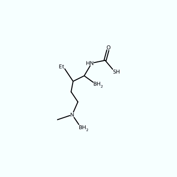 BC(NC(=O)S)C(CC)CCN(B)C